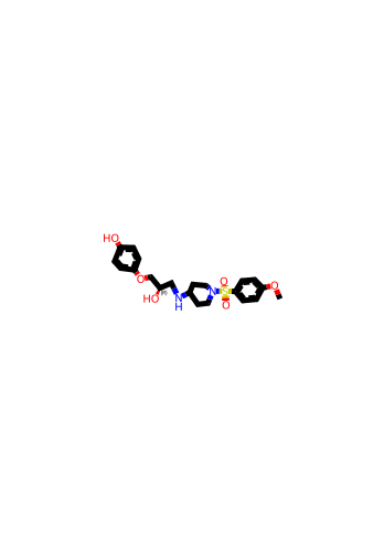 COc1ccc(S(=O)(=O)N2CCC(NC[C@@H](O)COc3ccc(O)cc3)CC2)cc1